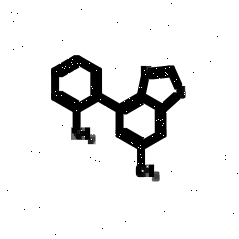 Cc1cc(-c2ccccc2N)c2ncsc2c1